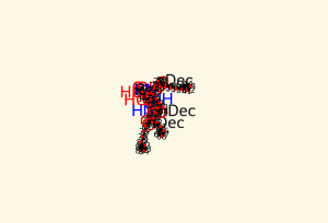 CCCCCCCCCCC[C@H](CC(=O)NCCO[C@@H]1OC(CO)[C@@H](OCP(=O)(O)O)C(NC(=O)C[C@@H](CCCCCCCCCCC)OC(=O)CCCCCCCc2ccccc2)CC1NC(=O)C[C@@H](CCCCCCCCCCC)OC(=O)CCCCCCCc1ccccc1)OC(=O)CCCCCCCc1ccccc1